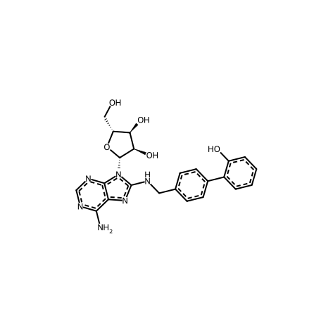 Nc1ncnc2c1nc(NCc1ccc(-c3ccccc3O)cc1)n2[C@@H]1O[C@H](CO)[C@@H](O)[C@H]1O